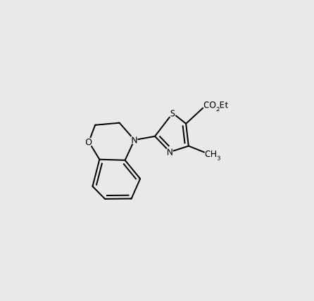 CCOC(=O)c1sc(N2CCOc3ccccc32)nc1C